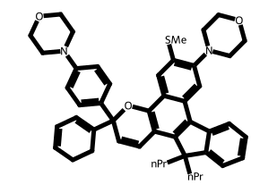 CCCC1(CCC)c2ccccc2-c2c1c1c(c3cc(SC)c(N4CCOCC4)cc23)OC(C2=CC=CCC2)(c2ccc(N3CCOCC3)cc2)C=C1